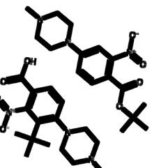 CN1CCN(c2ccc(C(=O)O)c([N+](=O)[O-])c2C(C)(C)C)CC1.CN1CCN(c2ccc(C(=O)OC(C)(C)C)c([N+](=O)[O-])c2)CC1